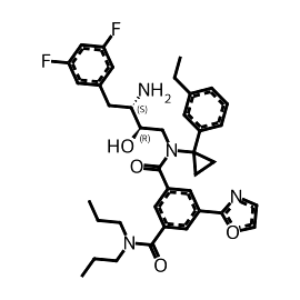 CCCN(CCC)C(=O)c1cc(C(=O)N(C[C@@H](O)[C@@H](N)Cc2cc(F)cc(F)c2)C2(c3cccc(CC)c3)CC2)cc(-c2ncco2)c1